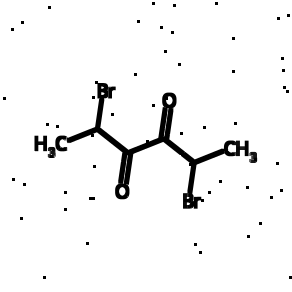 CC(Br)C(=O)C(=O)C(C)Br